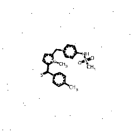 Cc1ccc(C(=S)c2ccc(Cc3ccc(NS(C)(=O)=O)cc3)n2C)cc1